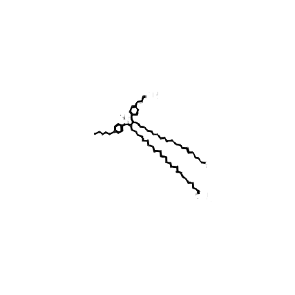 CCCCCCCCCCCCCCCCCCCCC=CC1=C(c2ccc(CCCC)cc2)[N+](=[N-])C(c2ccc(CCCCCC)cc2)=C1CCCCCCCCCCCCCCCCCCCCCCCCC.[Pd]